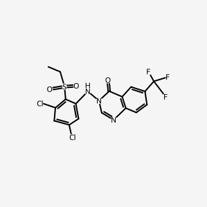 CCS(=O)(=O)c1c(Cl)cc(Cl)cc1Nn1cnc2ccc(C(F)(F)F)cc2c1=O